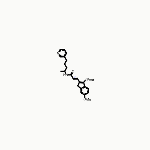 CCCCCC1=C(/C=C/C(=O)NC(C)CCCc2cccnc2)Cc2cc(OC)ccc21